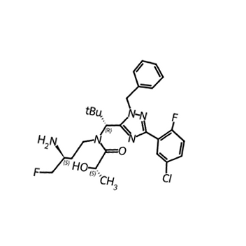 C[C@H](O)C(=O)N(CC[C@H](N)CF)[C@@H](c1nc(-c2cc(Cl)ccc2F)nn1Cc1ccccc1)C(C)(C)C